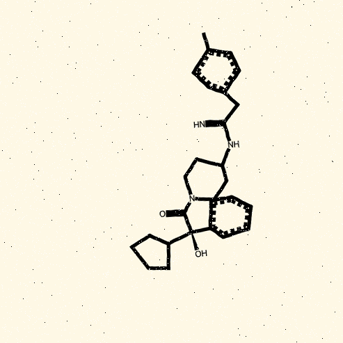 Cc1ccc(CC(=N)NC2CCN(C(=O)[C@](O)(c3ccccc3)C3CCCC3)CC2)cc1